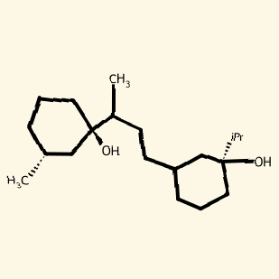 CC(C)[C@]1(O)CCCC(CCC(C)[C@@]2(O)CCC[C@@H](C)C2)C1